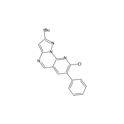 CC(C)(C)c1cc2ncc3cc(-c4ccccc4)c(Cl)nc3n2n1